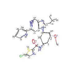 CO[C@@H]1C[C@@H](NC(=O)c2ncc(Cl)s2)C[C@@H](n2c(CC(C)C)nc3cnc(-c4ccccn4)cc32)C1